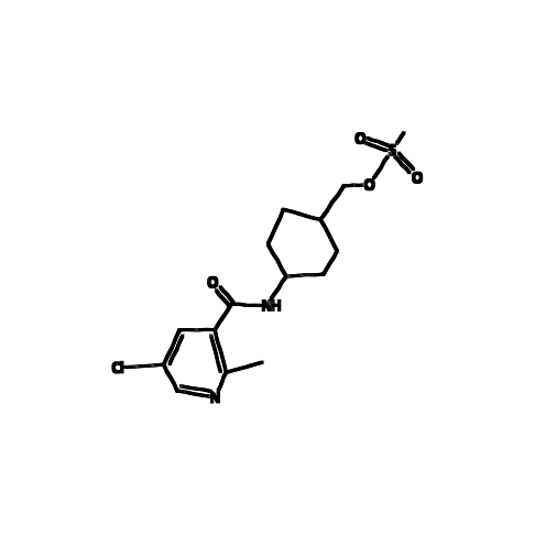 Cc1ncc(Cl)cc1C(=O)NC1CCC(COS(C)(=O)=O)CC1